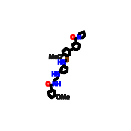 COc1cccc(C(=O)NCCNc2cccc(NSc3cc(-c4cccc(C(=O)N5CCCC5)c4)ccc3OC)c2)c1